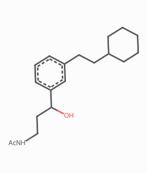 CC(=O)NCCC(O)c1cccc(CCC2CCCCC2)c1